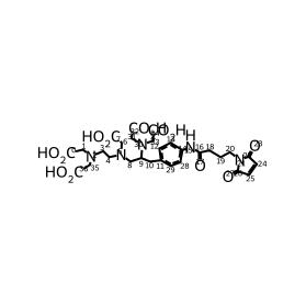 O=C(O)CN(CCN(CC(=O)O)CC(Cc1ccc(NC(=O)CCCN2C(=O)C=CC2=O)cc1)N(CC(=O)O)CC(=O)O)CC(=O)O